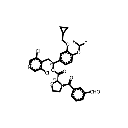 O=Cc1cccc(C(=O)N2CCS[C@H]2C(=O)O[C@@H](Cc2c(Cl)cncc2Cl)c2ccc(OC(F)F)c(OCC3CC3)c2)c1